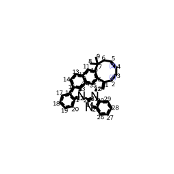 C=C1/C=C\C=C/CC(C)(C)c2cc3ccc4c5ccccc5n(-c5nc6ccccc6n5C)c4c3cc21